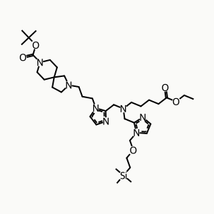 CCOC(=O)CCCCN(Cc1nccn1CCCN1CCC2(CCN(C(=O)OC(C)(C)C)CC2)C1)Cc1nccn1COCC[Si](C)(C)C